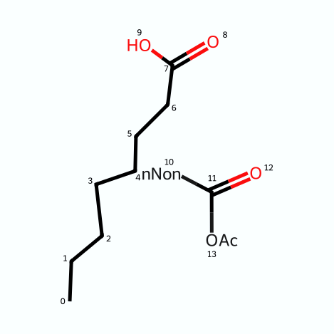 CCCCCCCC(=O)O.CCCCCCCCCC(=O)OC(C)=O